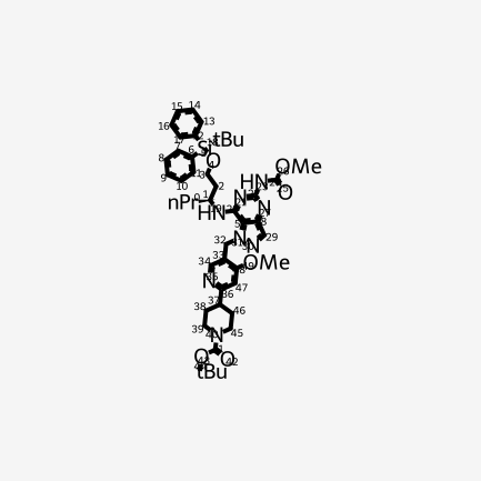 CCC[C@@H](CCO[Si](c1ccccc1)(c1ccccc1)C(C)(C)C)Nc1nc(NC(=O)OC)nc2cnn(Cc3cnc(C4CCN(C(=O)OC(C)(C)C)CC4)cc3OC)c12